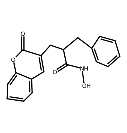 O=C(NO)C(Cc1ccccc1)Cc1cc2ccccc2oc1=O